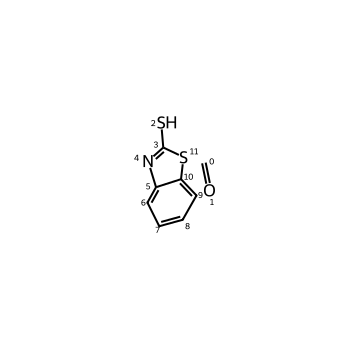 C=O.Sc1nc2ccccc2s1